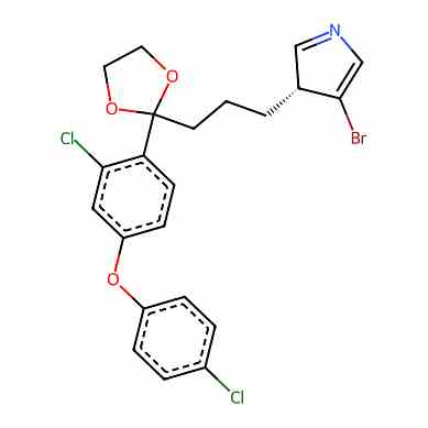 Clc1ccc(Oc2ccc(C3(CCC[C@@H]4C=NC=C4Br)OCCO3)c(Cl)c2)cc1